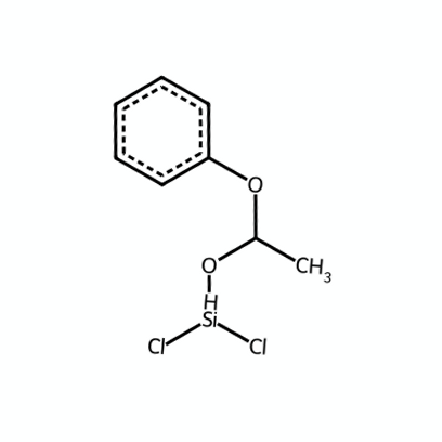 CC(Oc1ccccc1)O[SiH](Cl)Cl